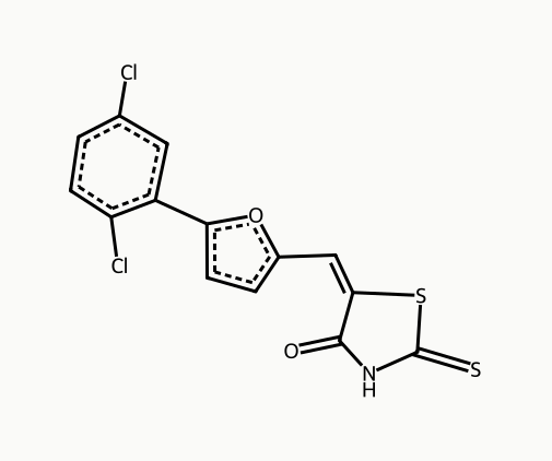 O=C1NC(=S)SC1=Cc1ccc(-c2cc(Cl)ccc2Cl)o1